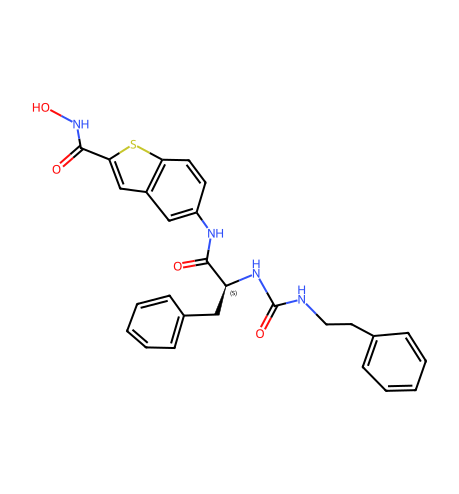 O=C(NCCc1ccccc1)N[C@@H](Cc1ccccc1)C(=O)Nc1ccc2sc(C(=O)NO)cc2c1